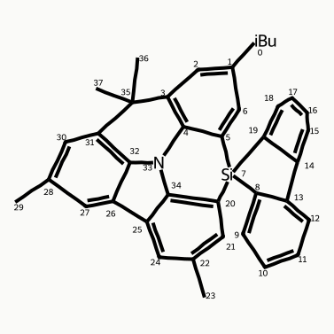 CCC(C)c1cc2c3c(c1)[Si]1(c4ccccc4-c4ccccc41)c1cc(C)cc4c5cc(C)cc(c5n-3c14)C2(C)C